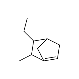 CCC1C2CC=C(C2)C1C